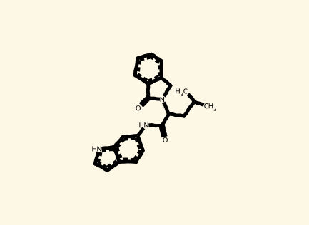 CC(C)CC(C(=O)Nc1ccc2cc[nH]c2c1)N1Cc2ccccc2C1=O